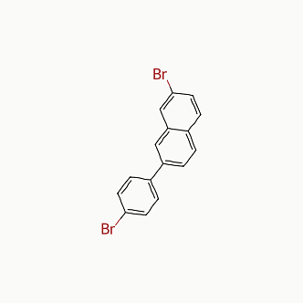 Brc1ccc(-c2ccc3ccc(Br)cc3c2)cc1